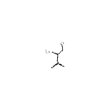 CC(C)C(Br)CBr